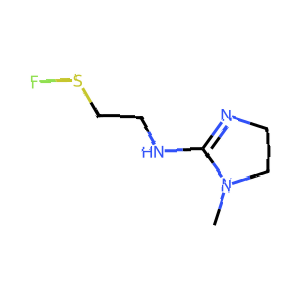 CN1CCN=C1NCCSF